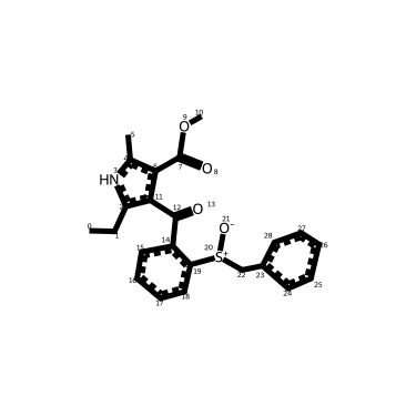 CCc1[nH]c(C)c(C(=O)OC)c1C(=O)c1ccccc1[S+]([O-])Cc1ccccc1